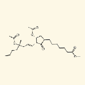 CCCC[C@@](C)(CC=C[C@H]1C(=O)[C@H](CCCCCCC(=O)OC)C[C@H]1OC(C)=O)OC(C)=O